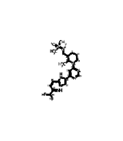 CC1C(CN=S(C)(C)=O)CCCN1c1cc(-c2cnc(/C=C\C(=N)C(F)F)[nH]2)ncn1